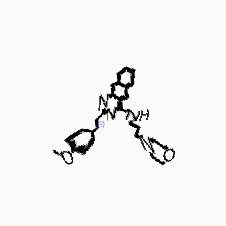 COc1ccc(/C=C/c2nc(NCCCN3CCOCC3)c3cc4ccccc4cc3n2)cc1